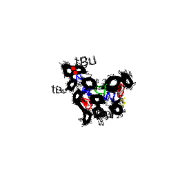 CC(C)(C)c1ccc(N(c2cccc(N(c3cc(-c4ccccc4)cc(N(c4csc5ccc(C(C)(C)C)cc45)c4cccc5c4oc4ccccc45)c3Cl)c3cccc4c3oc3ccccc34)c2)c2ccc(C(C)(C)C)cc2-c2ccccc2)cc1